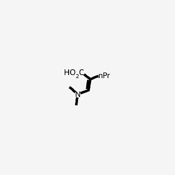 CCCC(=CN(C)C)C(=O)O